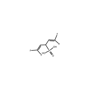 O=P(O)(O)C(C=C(F)F)C=C(F)F